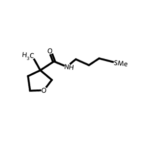 CSCCCNC(=O)C1(C)CCOC1